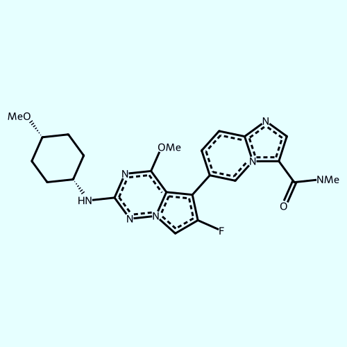 CNC(=O)c1cnc2ccc(-c3c(F)cn4nc(N[C@H]5CC[C@@H](OC)CC5)nc(OC)c34)cn12